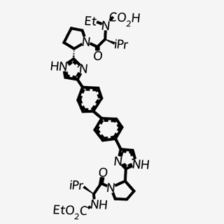 CCOC(=O)N[C@H](C(=O)N1CCCC1c1nc(-c2ccc(-c3ccc(-c4c[nH]c([C@@H]5CCCN5C(=O)[C@H](C(C)C)N(CC)C(=O)O)n4)cc3)cc2)c[nH]1)C(C)C